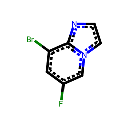 Fc1cc(Br)c2nccn2c1